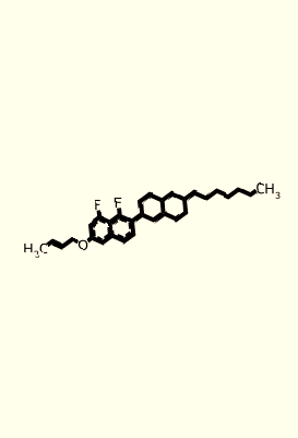 C/C=C/COc1cc(F)c2c(F)c(C3CCC4CC(CCCCCCC)CCC4C3)ccc2c1